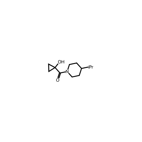 CC(C)C1CCN(C(=O)C2(O)CC2)CC1